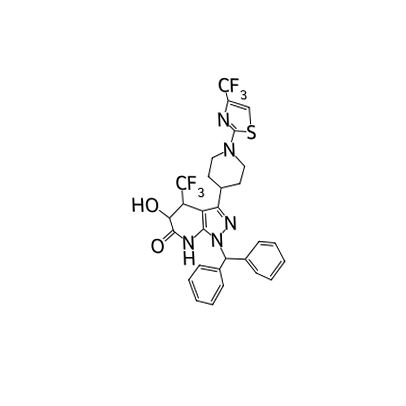 O=C1Nc2c(c(C3CCN(c4nc(C(F)(F)F)cs4)CC3)nn2C(c2ccccc2)c2ccccc2)C(C(F)(F)F)C1O